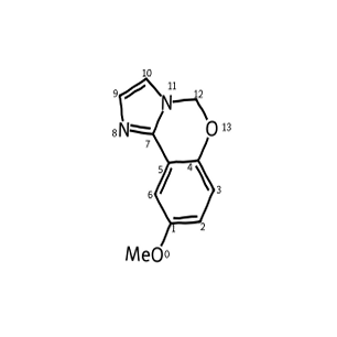 COc1ccc2c(c1)-c1nccn1CO2